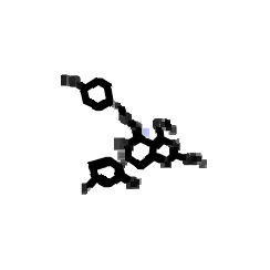 Cc1nc(N)nc2c1/C(=N/OC[C@H]1CC[C@H](O)CC1)N[C@@H](c1ccc(F)cc1Br)C2